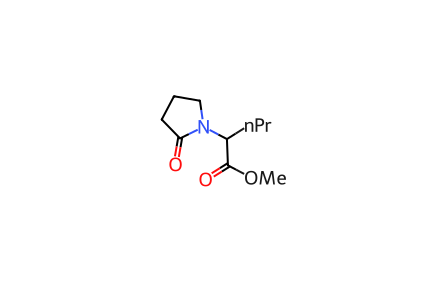 CCCC(C(=O)OC)N1CCCC1=O